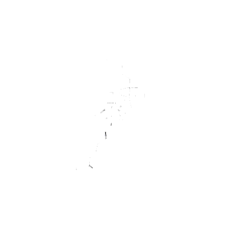 CCCCC(F)(F)[C@@]1(O)CC[C@H]2[C@@H](CC(=O)[C@@H]2C/C=C/CCCC(=O)O)O1